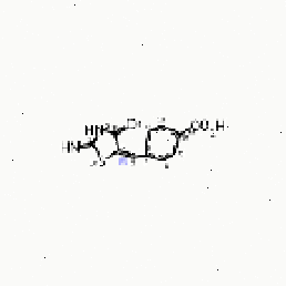 N=C1NC(=O)/C(=C\c2ccc(C(=O)O)cc2)S1